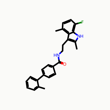 Cc1ccccc1-c1ccc(C(=O)NCCc2c(C)[nH]c3c(F)ccc(C)c23)cc1